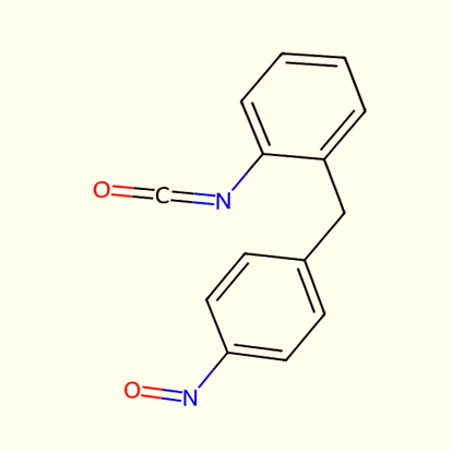 O=C=Nc1ccccc1Cc1ccc(N=O)cc1